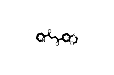 O=C(CCC(=O)c1ccccn1)c1ccc2c(c1)OCCS2